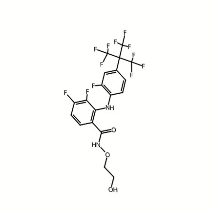 O=C(NOCCO)c1ccc(F)c(F)c1Nc1ccc(C(C(F)(F)F)(C(F)(F)F)C(F)(F)F)cc1F